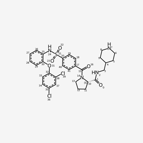 O=C(NCC1CCNCC1)[C@@H]1CCCN1C(=O)c1ccc(S(=O)(=O)Nc2ccccc2Oc2ccc(Cl)cc2Cl)cc1